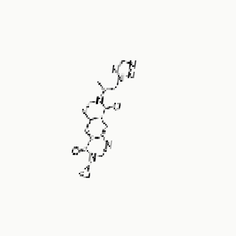 CC(Cn1ncnn1)n1cnc2cc3c(=O)n(C4CC4)cnc3cc2c1=O